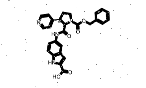 O=C(O)c1cc2cc(NC(=O)C3[C@@H](c4ccncc4)CCN3C(=O)OCc3ccccc3)ccc2[nH]1